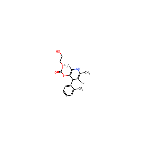 CC1=C(C#N)C(c2ccccc2C(F)(F)F)C(OC(=O)OCCO)=C(C)N1